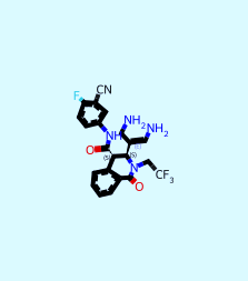 N#Cc1cc(NC(=O)[C@H]2c3ccccc3C(=O)N(CC(F)(F)F)[C@@H]2/C(=C/N)CN)ccc1F